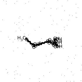 CCOCCCCCOP(=O)(O)OCCOCCCCCOP(=O)(O)OC[C@H]1O[C@](O)(CO)C(O)[C@H]1OP(C)(=O)O